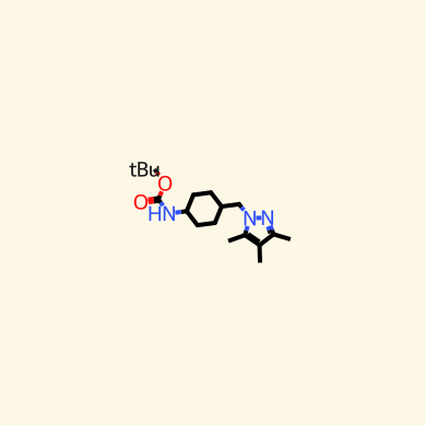 Cc1nn(CC2CCC(NC(=O)OC(C)(C)C)CC2)c(C)c1C